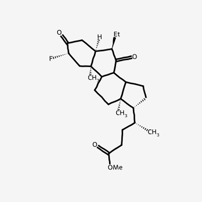 CC[C@H]1C(=O)C2C3CC[C@H]([C@H](C)CCC(=O)OC)[C@@]3(C)CCC2[C@@]2(C)C[C@H](F)C(=O)C[C@@H]12